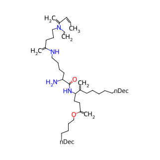 C=CN(CCCC(=C)NCCCCC(N)C(=O)NC(CCC(=C)OCCCCCCCCCCCCCC)C(=C)CCCCCCCCCCCCCCC)C(=C)/C=C\C